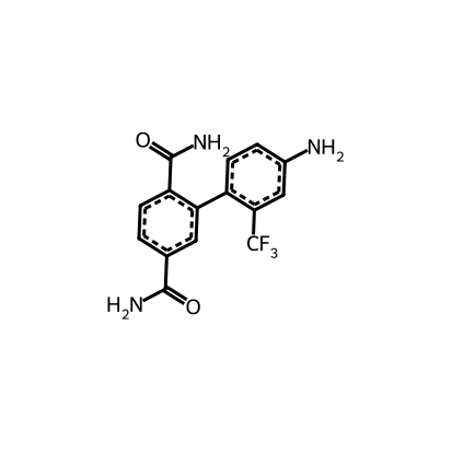 NC(=O)c1ccc(C(N)=O)c(-c2ccc(N)cc2C(F)(F)F)c1